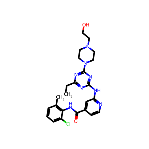 CCc1nc(Nc2cc(C(=O)Nc3c(C)cccc3Cl)ccn2)nc(N2CCN(CCO)CC2)n1